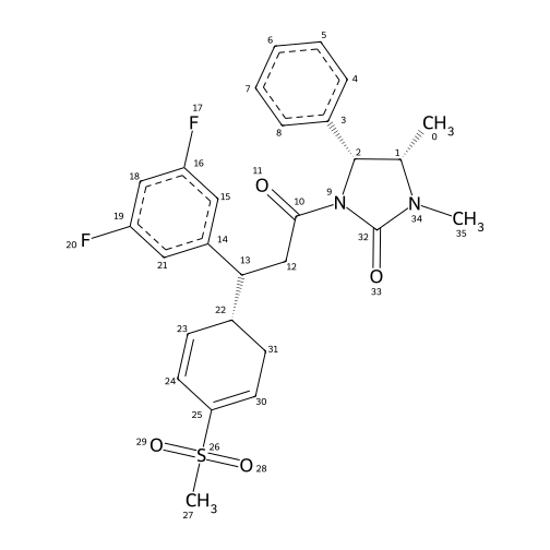 C[C@H]1[C@@H](c2ccccc2)N(C(=O)CC(c2cc(F)cc(F)c2)[C@H]2C=CC(S(C)(=O)=O)=CC2)C(=O)N1C